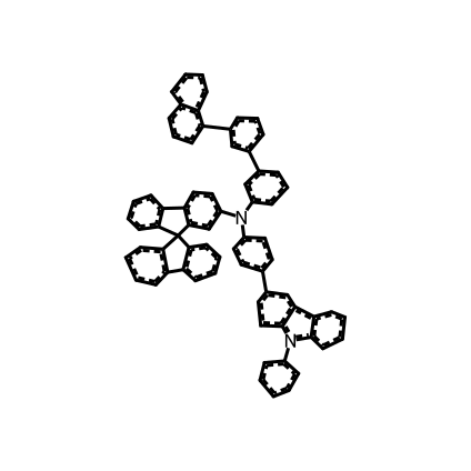 c1ccc(-n2c3ccccc3c3cc(-c4ccc(N(c5cccc(-c6cccc(-c7cccc8ccccc78)c6)c5)c5ccc6c(c5)C5(c7ccccc7-c7ccccc75)c5ccccc5-6)cc4)ccc32)cc1